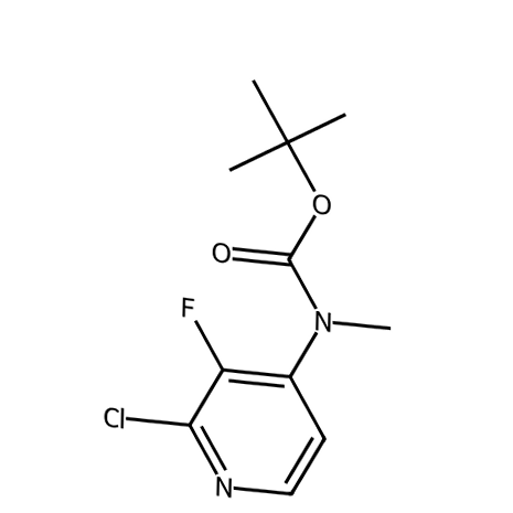 CN(C(=O)OC(C)(C)C)c1ccnc(Cl)c1F